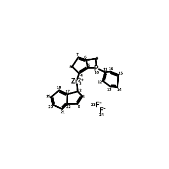 C1=C[CH]([Zr+2][C]2=C3C(=CC2)CP3c2ccccc2)c2ccccc21.[F-].[F-]